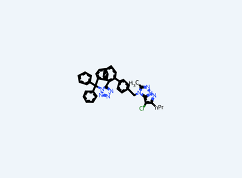 CCCc1nn2nc(C)n(Cc3ccc(-c4ccccc4-c4nnnn4C(c4ccccc4)(c4ccccc4)c4ccccc4)cc3)c2c1Cl